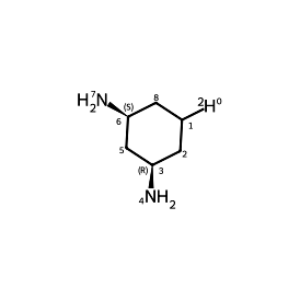 [2H]C1C[C@@H](N)C[C@@H](N)C1